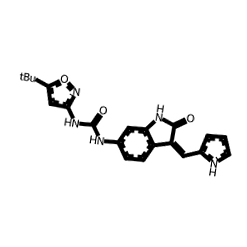 CC(C)(C)c1cc(NC(=O)Nc2ccc3c(c2)NC(=O)/C3=C\c2ccc[nH]2)no1